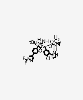 CC(C)(C)C[C@]1(C2C=CC(c3cnn(C(F)F)c3)=CC2)NC(=N)N([C@H](COC(=O)NC2(C)CC2)c2ccc(Cl)c(-c3nncs3)c2)C1=O